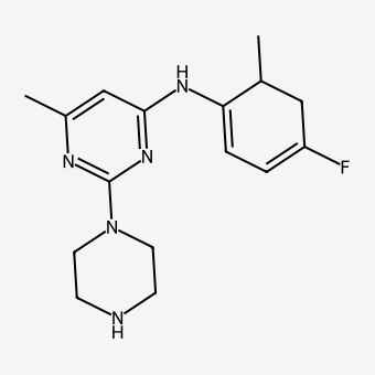 Cc1cc(NC2=CC=C(F)CC2C)nc(N2CCNCC2)n1